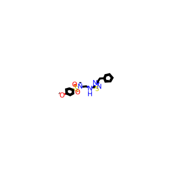 COc1ccc(S(=O)(=O)N(C)CCNc2nc(Cc3ccccc3)ns2)cc1